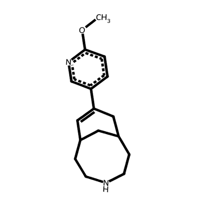 COc1ccc(C2=CC3CCNCCC(C2)C3)cn1